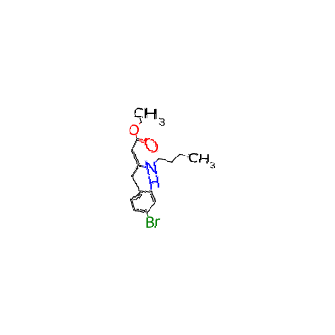 CCCCNC(=CC(=O)OCC)Cc1ccc(Br)cc1